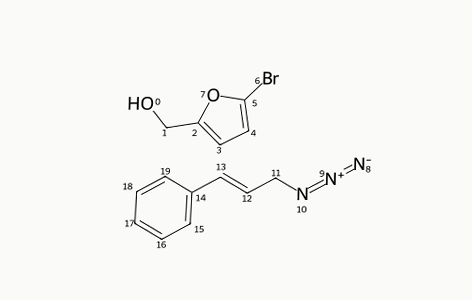 OCc1ccc(Br)o1.[N-]=[N+]=NCC=Cc1ccccc1